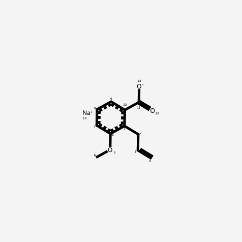 C=CCc1c(OC)cccc1C(=O)[O-].[Na+]